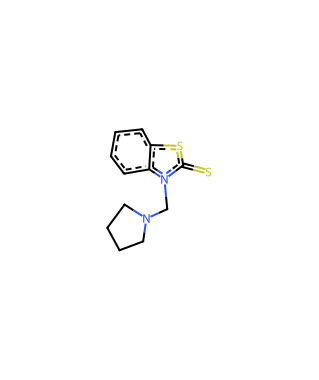 S=c1sc2ccccc2n1CN1CCCC1